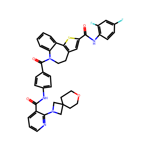 O=C(Nc1ccc(F)cc1F)c1cc2c(s1)-c1ccccc1N(C(=O)c1ccc(NC(=O)c3cccnc3N3CC4(CCOCC4)C3)cc1)CC2